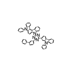 c1ccc(-c2cccc(-c3nc(-c4ccc5c6ccccc6n(-c6ccccc6)c5c4)nc(-n4c5ccccc5c5c6c7ccccc7n(-c7ccccc7)c6ccc54)n3)c2)cc1